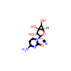 N#C[C@@]1(n2ccc(N)nc2=O)O[C@@H]2C(O)[C@@]2(O)[C@H]1O